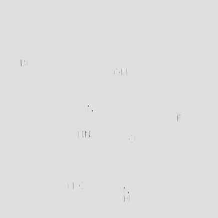 CC(Nc1cccc(F)c1)C(=O)NN=Cc1c(O)cccc1Br